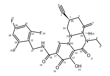 C#C[C@H]1CC(=C)[C@H]2N(CC)C(=O)c3c(O)c(=O)c(C(=O)NCc4c(F)cc(F)cc4F)cn3N2C1